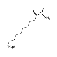 CCCCCCCCCCCCCCCC(=O)[C@@H](C)N